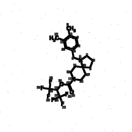 Cc1ccc(CN2CCCC23CCN(C(=O)OC(C(F)(F)F)C(F)(F)F)CC3)cc1C